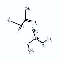 C=C(C)C(=O)O.CO[SiH](C)OC